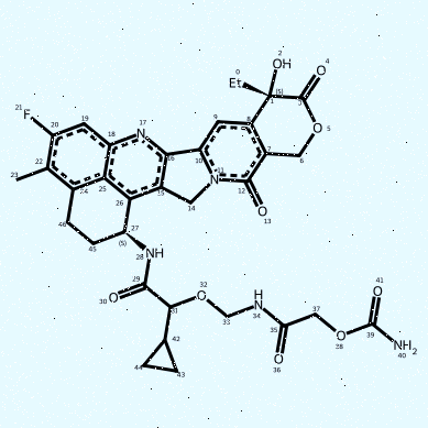 CC[C@@]1(O)C(=O)OCc2c1cc1n(c2=O)Cc2c-1nc1cc(F)c(C)c3c1c2[C@@H](NC(=O)C(OCNC(=O)COC(N)=O)C1CC1)CC3